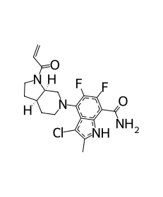 C=CC(=O)N1CC[C@@H]2CCN(c3c(F)c(F)c(C(N)=O)c4[nH]c(C)c(Cl)c34)C[C@@H]21